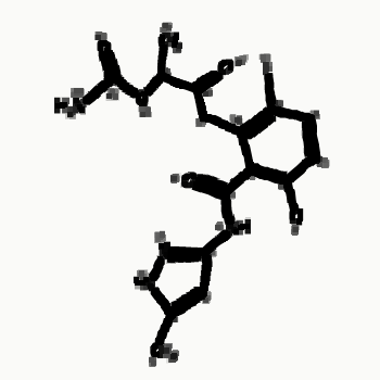 Cc1cc(NC(=O)c2c(Cl)ccc(F)c2CC(=O)C(C)OC(N)=O)n[nH]1